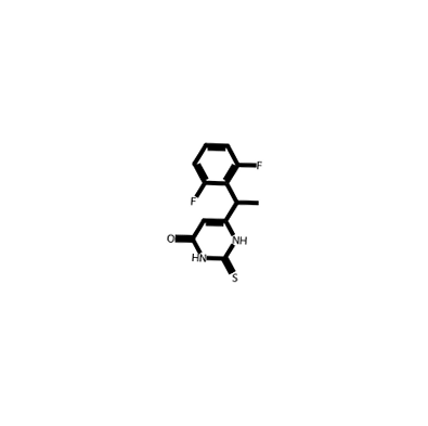 CC(c1cc(=O)[nH]c(=S)[nH]1)c1c(F)cccc1F